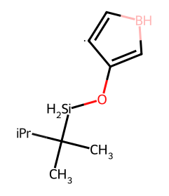 CC(C)C(C)(C)[SiH2]OC1=CBC=[C]1